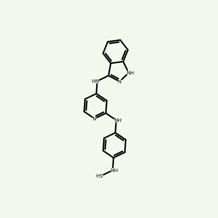 SNc1ccc(Nc2cc(Nc3n[nH]c4ccccc34)ccn2)cc1